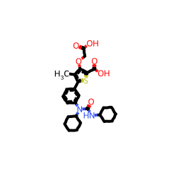 Cc1c(-c2cccc(N(C(=O)NC3CCCCC3)C3CCCCC3)c2)sc(C(=O)O)c1OCC(=O)O